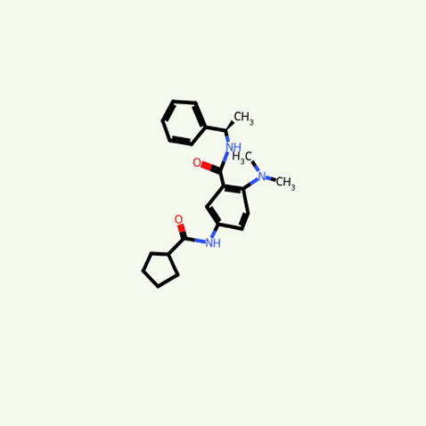 C[C@@H](NC(=O)c1cc(NC(=O)C2CCCC2)ccc1N(C)C)c1ccccc1